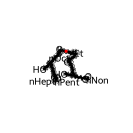 CCCCCCCCCC(=O)OCCCCCCN(CCCCO)CCCCCCSC(=O)C(CCCCCCCC)CCCC(CC)C(C)CCCCCCC(=O)SCCCCCCCN(CCCCO)CCCCCCCOC(=O)C(CCCCC)CCCCCCC